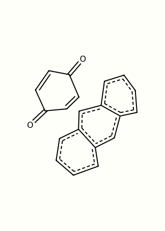 O=C1C=CC(=O)C=C1.c1ccc2cc3ccccc3cc2c1